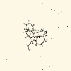 CCOc1ccccc1[N+]12C=CC=CC1=NN=C2c1ccccc1C